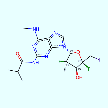 CNc1nc(NC(=O)C(C)C)nc2c1ncn2[C@@H]1O[C@](F)(CI)[C@@H](O)[C@@]1(C)F